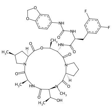 C[C@H]1C[C@H]2C(=O)O[C@@H](C)[C@H](NC(=O)[C@H](Cc3cc(F)cc(F)c3)NC(=O)Nc3ccc4c(c3)OCO4)C(=O)N3CCC[C@H]3C(=O)N(C)[C@@H]([C@H](C)O)C(=O)N[C@@H](C)C(=O)N2C1